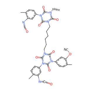 CCCCCCn1c(=O)n(CCCCCCn2c(=O)n(-c3ccc(C)c(N=C=O)c3)c(=O)n(-c3ccc(C)c(OC#N)c3)c2=O)c(=O)n(-c2ccc(C)c(N=C=O)c2)c1=O